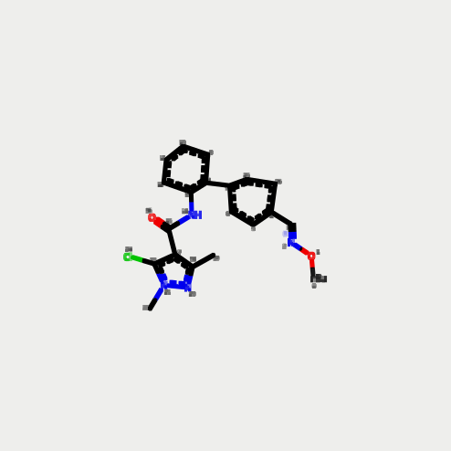 CCCCO/N=C/c1ccc(-c2ccccc2NC(=O)c2c(C)nn(C)c2Cl)cc1